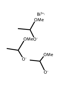 COC(C)[O-].COC(C)[O-].COC(C)[O-].[Bi+3]